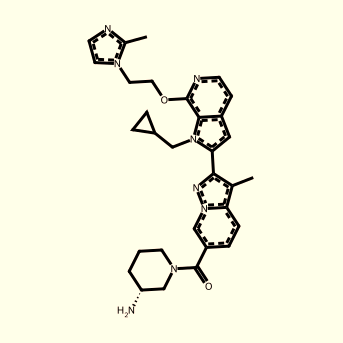 Cc1c(-c2cc3ccnc(OCCn4ccnc4C)c3n2CC2CC2)nn2cc(C(=O)N3CCC[C@@H](N)C3)ccc12